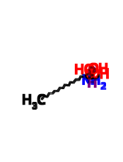 CCCCCCCCCCCCC/C=C/C[C@@H](N)CO[PH](O)(O)O